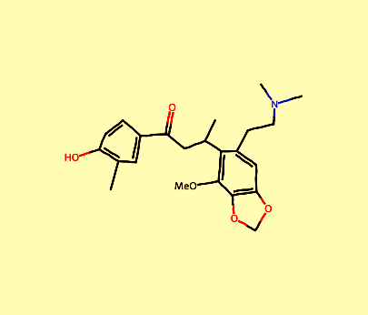 COc1c2c(cc(CCN(C)C)c1C(C)CC(=O)c1ccc(O)c(C)c1)OCO2